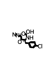 [N-]=[N+]=CC(=O)[C@H](Cc1ccc(Cl)cc1)NC(=O)O